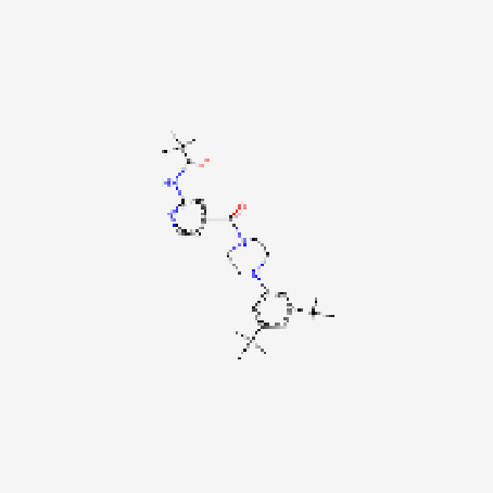 CC(C)(C)C(=O)Nc1cc(C(=O)N2CCN(c3cc(C(C)(C)C)cc(C(C)(C)C)c3)CC2)ccn1